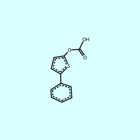 O=C(O)Oc1ccc(-c2ccccc2)s1